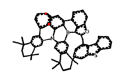 Cc1cc2c3c(c1)N(c1cc4c(cc1-c1ccccc1)C(C)(C)CCC4(C)C)c1cc4c(cc1B3c1c(-c3cccc5sc6ccccc6c35)oc3cccc-2c13)C(C)(C)CCC4(C)C